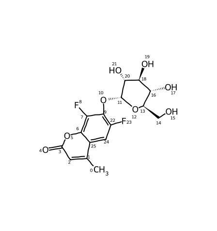 Cc1cc(=O)oc2c(F)c(O[C@H]3O[C@H](CO)[C@@H](O)[C@H](O)[C@H]3O)c(F)cc12